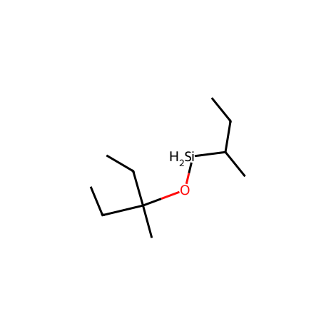 CCC(C)[SiH2]OC(C)(CC)CC